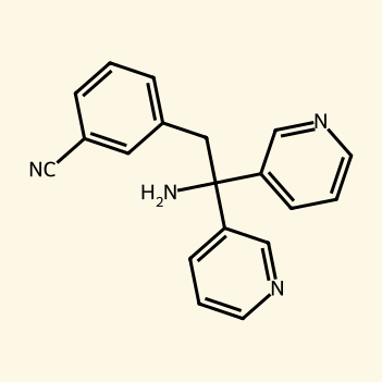 N#Cc1cccc(CC(N)(c2cccnc2)c2cccnc2)c1